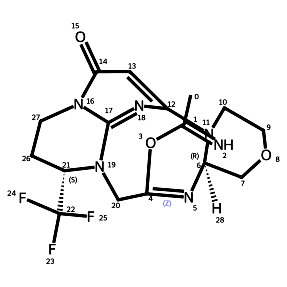 CC(=N)O/C1=N\[C@@H]2COCCN2c2cc(=O)n3c(n2)N(C1)[C@H](C(F)(F)F)CC3